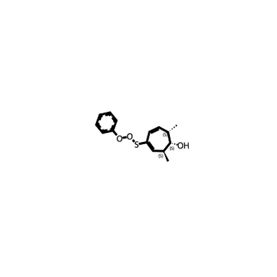 C[C@H]1C=CC(SOOc2ccccc2)=C[C@H](C)[C@H]1O